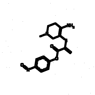 C=C(SC1=C(N)CCN(C)C1)C(=O)Oc1ccc(N=O)cc1